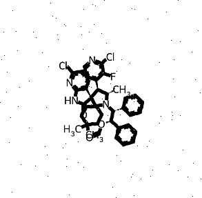 C[C@H]1[C@H](c2ccnc(Cl)c2F)[C@@]2(C(=O)Nc3nc(Cl)ccc32)C2(CCC(C)(C)CC2)N1[C@H](c1ccccc1)[C@@H](OC=O)c1ccccc1